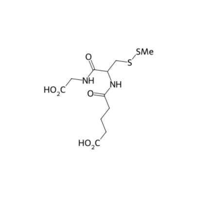 CSSCC(NC(=O)CCCC(=O)O)C(=O)NCC(=O)O